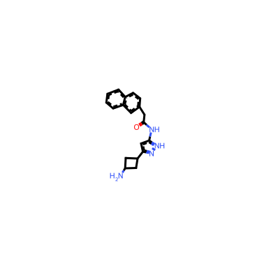 NC1CC(c2cc(NC(=O)Cc3ccc4ccccc4c3)[nH]n2)C1